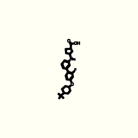 CN(c1cccc(-c2ccc(OC3CCC(C(C)(C)C)CC3)cc2F)c1)C1CCC(C(=O)O)C1